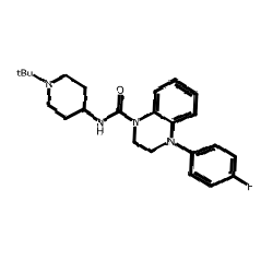 CC(C)(C)N1CCC(NC(=O)N2CCN(c3ccc(F)cc3)c3ccccc32)CC1